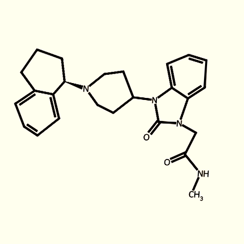 CNC(=O)Cn1c(=O)n(C2CCN([C@@H]3CCCc4ccccc43)CC2)c2ccccc21